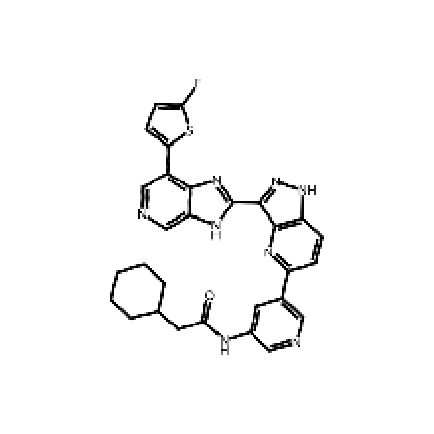 O=C(CC1CCCCC1)Nc1cncc(-c2ccc3[nH]nc(-c4nc5c(-c6ccc(F)s6)cncc5[nH]4)c3n2)c1